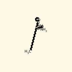 CCCCCCCCCCCCCCCCCOCC(COC1CCCCO1)NC(=O)C(N)=O